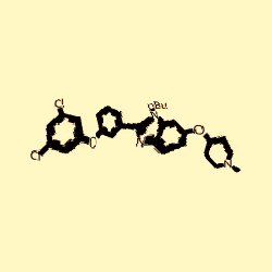 CCCCn1c(-c2cccc(Oc3cc(Cl)cc(Cl)c3)c2)nc2ccc(OC3CCN(C)CC3)cc21